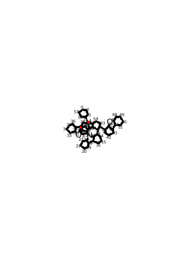 c1ccc(-n2c3ccccc3c3c(-c4cccc5c6ccccc6n(-c6cccc7c6oc6ccccc67)c45)c(-c4cccc5c4oc4ccccc45)ccc32)cc1